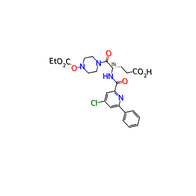 CCOC(=O)ON1CCN(C(=O)[C@H](CCC(=O)O)NC(=O)c2cc(Cl)cc(-c3ccccc3)n2)CC1